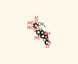 C[C@@H]1O[C@@H](O[C@H]2CC[C@@]3(C)[C@H](CCC4[C@@H]3C(O)C[C@]3(C)[C@@H](c5ccc(=O)oc5)CC[C@]43O)C2)[C@H](O)[C@H](O)[C@H]1O